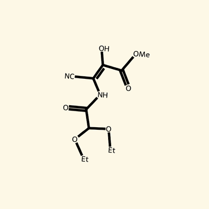 CCOC(OCC)C(=O)N/C(C#N)=C(/O)C(=O)OC